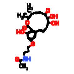 CC(=O)NCCCOc1cc(O)c2c(c1)/C=C/CC(O)C(O)C(=O)/C=C\[C@@H](C)C(C)OC2=O